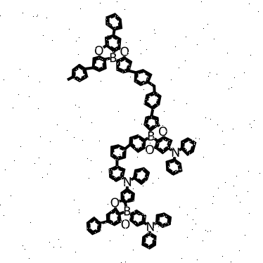 Cc1ccc(-c2ccc3c(c2)Oc2cc(-c4ccccc4)cc4c2B3c2ccc(-c3ccc(Cc5ccc(-c6ccc7c(c6)Oc6cc(N(c8ccccc8)c8ccccc8)cc8c6B7c6ccc(-c7cccc(-c9cccc(N(c%10ccccc%10)c%10ccc%11c(c%10)Oc%10cc(-c%12ccccc%12)cc%12c%10B%11c%10ccc(N(c%11ccccc%11)c%11ccccc%11)cc%10O%12)c9)c7)cc6O8)cc5)cc3)cc2O4)cc1